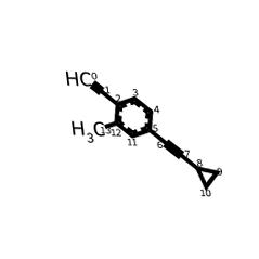 C#Cc1ccc(C#CC2CC2)cc1C